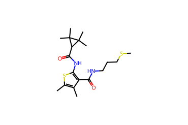 CSCCCNC(=O)c1c(NC(=O)C2C(C)(C)C2(C)C)sc(C)c1C